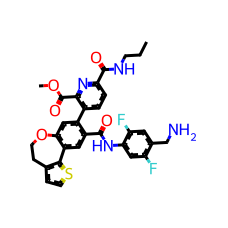 CCCNC(=O)c1ccc(-c2cc3c(cc2C(=O)Nc2cc(F)c(CN)cc2F)-c2sccc2CCO3)c(C(=O)OC)n1